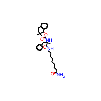 CC(Cc1ccccc1)(NC(=O)OC1c2ccccc2CCC1(C)C)C(=O)NCCCCCCCCC(N)=O